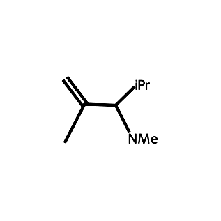 C=C(C)C(NC)C(C)C